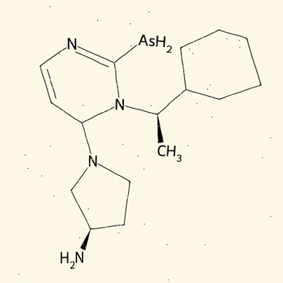 C[C@H](C1CCCCC1)N1C([AsH2])=NC=CC1N1CC[C@@H](N)C1